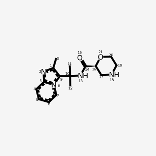 Cc1nc2ccccn2c1C(C)(C)NC(=O)[C@@H]1CNCCO1